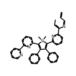 C=C/C=N\C(=C/C)c1cccc(C2=C(c3ccccc3)C(c3ccccc3)=C(c3cccc(-c4ccccn4)n3)[Si]2(C)C)n1